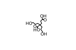 O=C(O)CCC(CCCO)(CCCO)C(=O)O